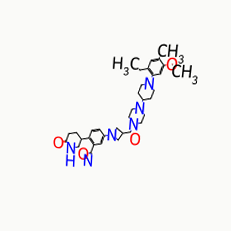 CCc1cc(C)c(OC)cc1N1CCC(N2CCN(C(=O)C3CN(c4ccc(C5CCC(=O)NC5=O)c(C#N)c4)C3)CC2)CC1